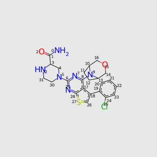 NC(=O)C1CN(c2nc(N3C4CCC3COC4)c3c(-c4ccccc4Cl)csc3n2)CCN1